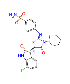 NS(=O)(=O)c1ccc(/N=C2\S/C(=C3\C(=O)Nc4c(F)cccc43)C(=O)N2C2CCCCC2)cc1